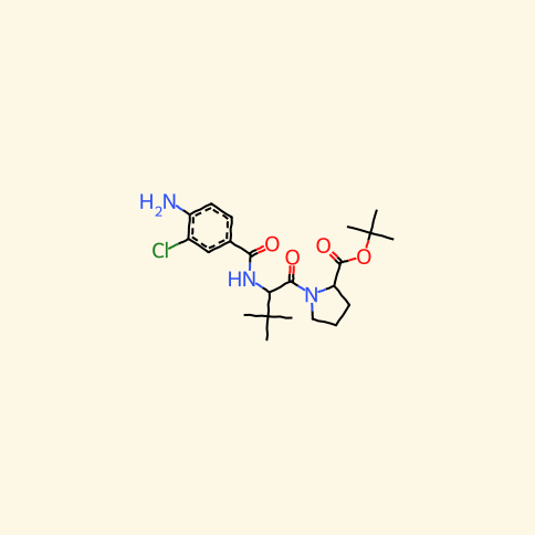 CC(C)(C)OC(=O)C1CCCN1C(=O)C(NC(=O)c1ccc(N)c(Cl)c1)C(C)(C)C